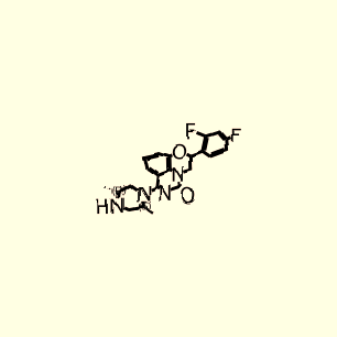 C[C@@H]1CN(c2nc(=O)n3c4c(cccc24)OC(c2ccc(F)cc2F)C3)[C@@H](C)CN1